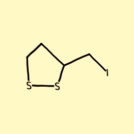 ICC1CCSS1